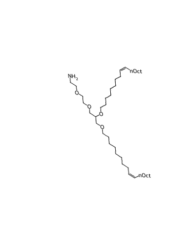 CCCCCCCC/C=C\CCCCCCCCOCC(COCCOCCN)OCCCCCCCC/C=C\CCCCCCCC